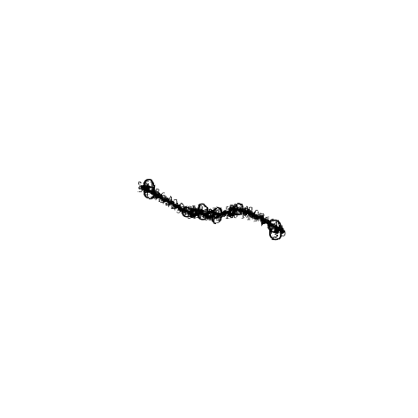 C=CC(=O)OCCCCCCCCCCCOc1ccc(C#CC(=O)OC2CCC(OC(=O)c3ccc(OCCCCCCCCCCCOC(=O)C=C)cc3)CC2)cc1